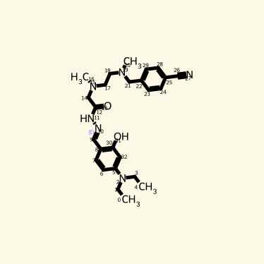 CCN(CC)c1ccc(/C=N/NC(=O)CN(C)CCN(C)Cc2ccc(C#N)cc2)c(O)c1